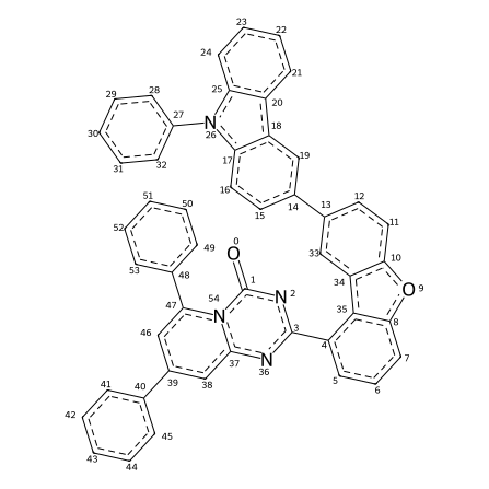 O=c1nc(-c2cccc3oc4ccc(-c5ccc6c(c5)c5ccccc5n6-c5ccccc5)cc4c23)nc2cc(-c3ccccc3)cc(-c3ccccc3)n12